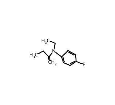 C=C(CC)N(CC)c1ccc(F)cc1